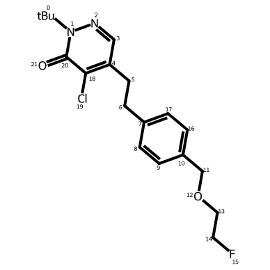 CC(C)(C)n1ncc(CCc2ccc(COCCF)cc2)c(Cl)c1=O